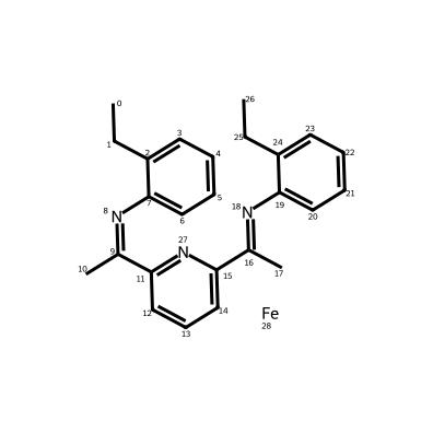 CCc1ccccc1N=C(C)c1cccc(C(C)=Nc2ccccc2CC)n1.[Fe]